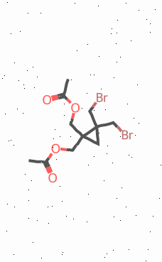 CC(=O)OCC1(COC(C)=O)CC1(CBr)CBr